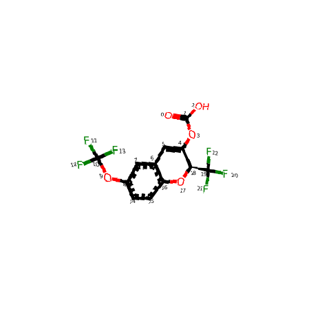 O=C(O)OC1=Cc2cc(OC(F)(F)F)ccc2O[C@@H]1C(F)(F)F